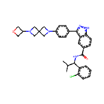 CC(C)C(NC(=O)c1ccc2[nH]nc(-c3ccc(N4CC5(C4)CN(C4COC4)C5)cc3)c2c1)c1ccccc1Cl